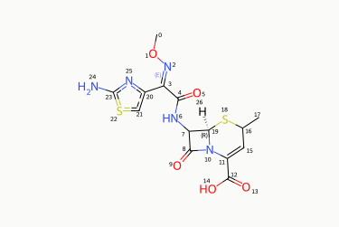 CO/N=C(/C(=O)NC1C(=O)N2C(C(=O)O)=CC(C)S[C@H]12)c1csc(N)n1